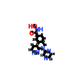 O=C(NO)c1ccc(CN(c2cnccn2)c2cccnn2)cc1